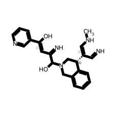 CN/C=C(\C=N)[C@H]1CN(C(O)C(=N)/C=C(\O)c2cccnc2)Cc2ccccc21